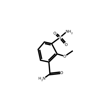 COc1c(C(N)=O)cccc1S(N)(=O)=O